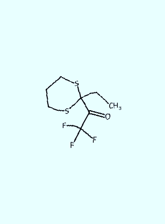 CCC1(C(=O)C(F)(F)F)SCCCS1